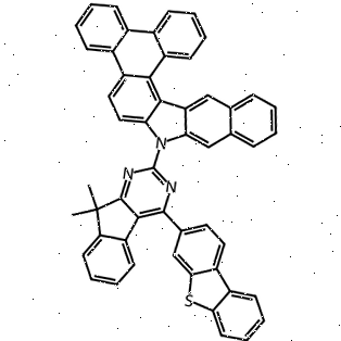 CC1(C)c2ccccc2-c2c(-c3ccc4c(c3)sc3ccccc34)nc(-n3c4cc5ccccc5cc4c4c5c6ccccc6c6ccccc6c5ccc43)nc21